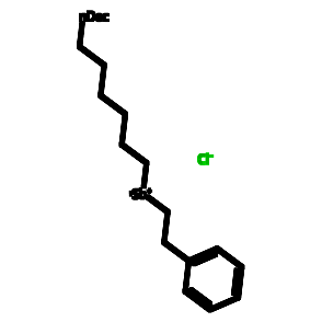 CCCCCCCCCCCCCCC[CH2][Sb+][CH2]Cc1ccccc1.[Cl-]